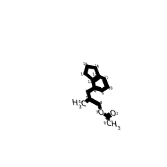 CC(=O)OC=C(C)Cc1cccc2c1CCC2